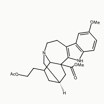 COC(=O)C12C[C@H]3CC(CCOC(C)=O)C1N(CCc1c2[nH]c2ccc(OC)cc12)C3